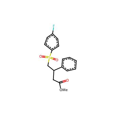 COC(=O)CC(CS(=O)(=O)c1ccc(F)cc1)c1ccccc1